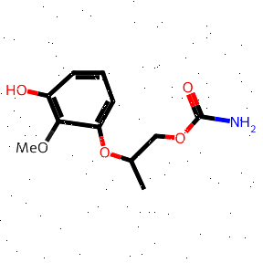 COc1c(O)cccc1OC(C)COC(N)=O